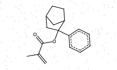 C=C(C)C(=O)OC1(c2ccccc2)CC2CCC1C2